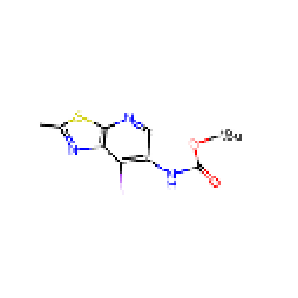 Cc1nc2c(I)c(NC(=O)OC(C)(C)C)cnc2s1